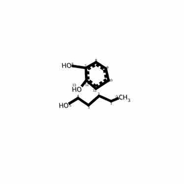 CCCCCO.Oc1ccccc1O